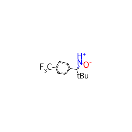 CC(C)(C)C(=[NH+][O-])c1ccc(C(F)(F)F)cc1